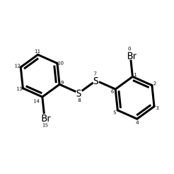 Brc1ccccc1SSc1ccccc1Br